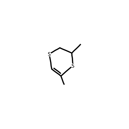 CC1=CSCC(C)S1